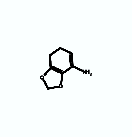 NC1=CCCC2=C1OCO2